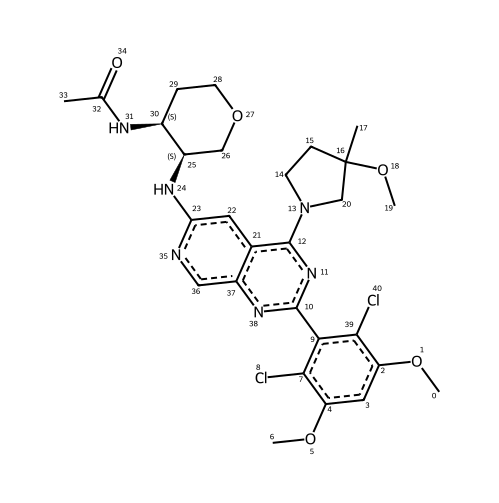 COc1cc(OC)c(Cl)c(-c2nc(N3CCC(C)(OC)C3)c3cc(N[C@@H]4COCC[C@@H]4NC(C)=O)ncc3n2)c1Cl